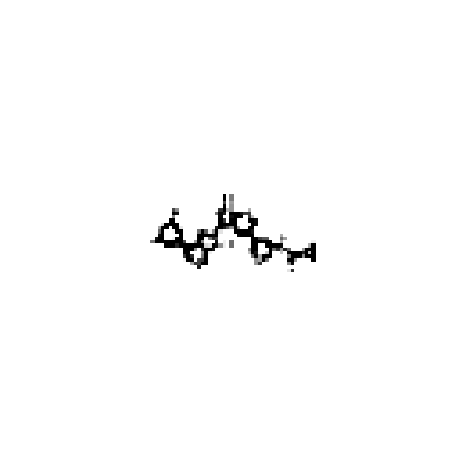 Cc1cc(F)cc(-c2cncc3[nH]c(-c4n[nH]c5ncc(-c6cncc(NC(=O)C7CC7)c6)cc45)cc23)c1